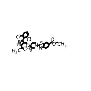 CCOC(=O)c1ccc2nc(N3CCC(OCc4c(-c5c(Cl)cccc5Cl)noc4C(C)C)CC3)sc2c1